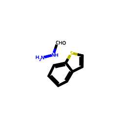 NNC=O.c1ccc2sccc2c1